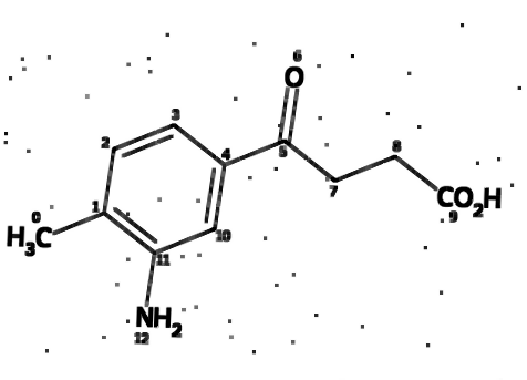 Cc1ccc(C(=O)CCC(=O)O)cc1N